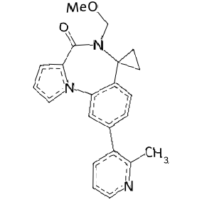 COCN1C(=O)c2cccn2-c2cc(-c3cccnc3C)ccc2C12CC2